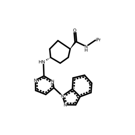 CC(C)NC(=O)[C@H]1CC[C@H](Nc2nccc(-n3ncc4ccccc43)n2)CC1